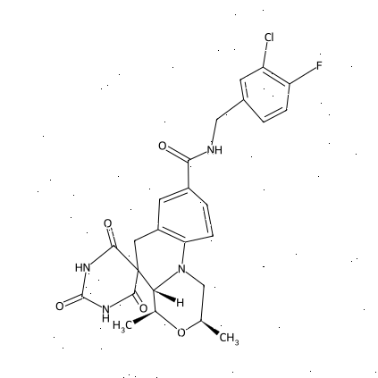 C[C@@H]1CN2c3ccc(C(=O)NCc4ccc(F)c(Cl)c4)cc3CC3(C(=O)NC(=O)NC3=O)[C@H]2[C@H](C)O1